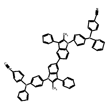 [C-]#[N+]c1ccc(N(c2ccccc2)c2ccc(-n3c(C)c(-c4ccccc4)c4cc(-c5ccc6c(c5)c(-c5ccccc5)c(C)n6-c5ccc(N(c6ccccc6)c6ccc(C#N)cc6)cc5)ccc43)cc2)cc1